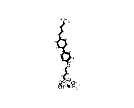 CCCCCC1CCC(c2ccc(OCCC[Si](OC)(OC)OC)cc2)CC1